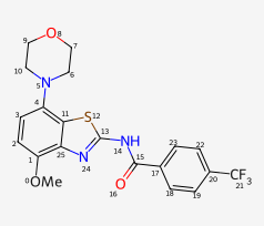 COc1ccc(N2CCOCC2)c2sc(NC(=O)c3ccc(C(F)(F)F)cc3)nc12